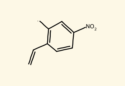 [CH2]c1cc([N+](=O)[O-])ccc1C=C